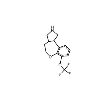 FC(F)(F)Oc1cccc2c1OCCC1CNCC21